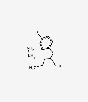 CCCC(C)Cc1ccc(F)cc1.NN